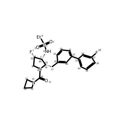 CCS(=O)(=O)N[C@H]1[C@@H](F)CN(C(=O)N2CCC2)[C@H]1Cc1cccc(-c2cccc(F)c2)c1